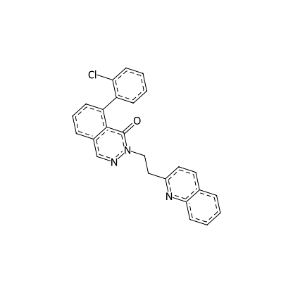 O=c1c2c(-c3ccccc3Cl)cccc2cnn1CCc1ccc2ccccc2n1